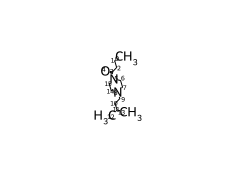 CCCC(=O)N1CCN(CCC(C)C)CC1